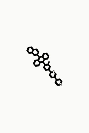 Cc1cc(-c2ccc(-c3ccncc3)cn2)ccc1-c1c2ccccc2c(-c2ccc3ccccc3c2)c2ccccc12